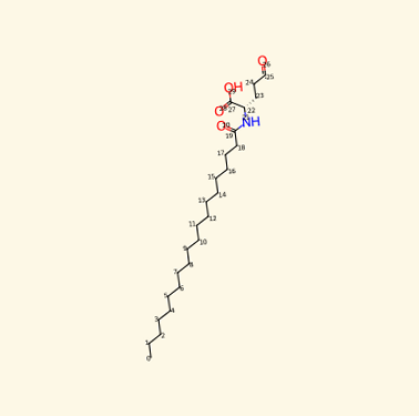 CCCCCCCCCCCCCCCCCCCC(=O)N[C@@H](CC[C]=O)C(=O)O